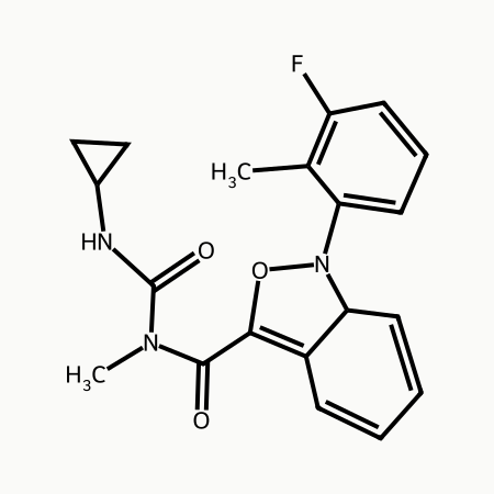 Cc1c(F)cccc1N1OC(C(=O)N(C)C(=O)NC2CC2)=C2C=CC=CC21